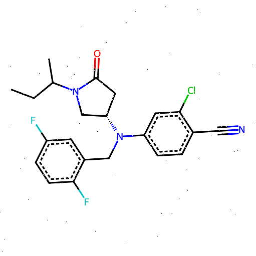 CCC(C)N1C[C@@H](N(Cc2cc(F)ccc2F)c2ccc(C#N)c(Cl)c2)CC1=O